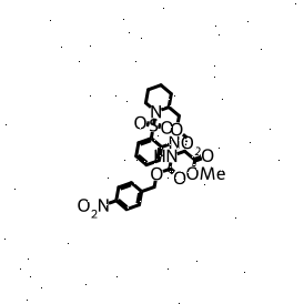 COC(=O)[C@@H](COCC1CCCCN1S(=O)(=O)c1ccccc1[N+](=O)[O-])NC(=O)OCc1ccc([N+](=O)[O-])cc1